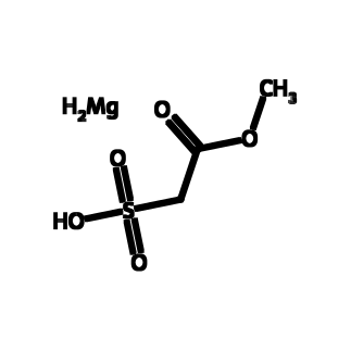 COC(=O)CS(=O)(=O)O.[MgH2]